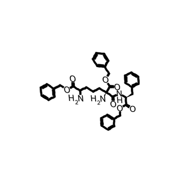 NC(CCC[C@](N)(C(=O)N[C@@H](Cc1ccccc1)C(=O)OCc1ccccc1)C(=O)OCc1ccccc1)C(=O)OCc1ccccc1